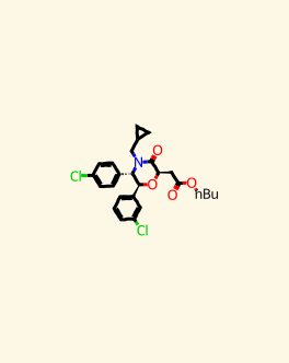 CCCCOC(=O)C[C@H]1O[C@@H](c2cccc(Cl)c2)[C@H](c2ccc(Cl)cc2)N(CC2CC2)C1=O